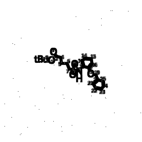 CC(C)(C)OC(=O)CCCCS(=O)(=O)Nc1ccccc1OCc1ccccc1